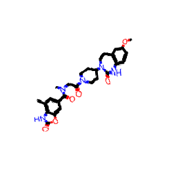 COc1ccc2c(c1)CCN(C1CCN(C(=O)CN(C)C(=O)c3cc(C)c4[nH]c(=O)oc4c3)CC1)C(=O)N2